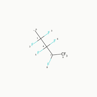 [CH2]C(F)(F)C(F)(F)C(F)C(F)(F)F